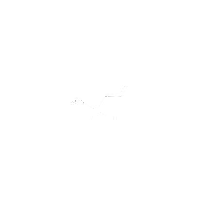 C=CCS(C)(C)NC